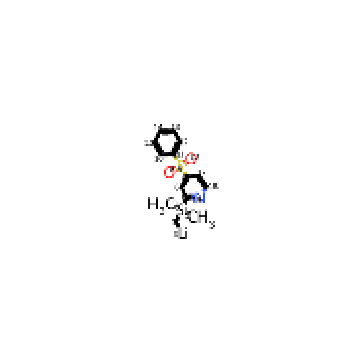 [Li][CH2][Si](C)(C)c1cc(S(=O)(=O)c2ccccc2)ccn1